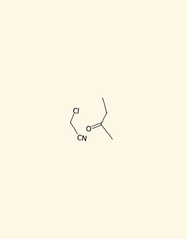 CCC(C)=O.N#CCCl